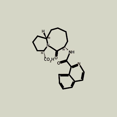 O=C(N[C@H]1CCCC[C@H]2CCC[C@@H](C(=O)O)N2C1=O)c1nccc2ccccc12